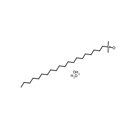 CCCCCCCCCCCCCCCCCCCC[N+](C)(C)[O-].O.O